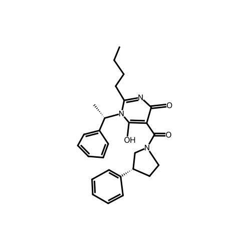 CCCCc1nc(=O)c(C(=O)N2CC[C@H](c3ccccc3)C2)c(O)n1[C@@H](C)c1ccccc1